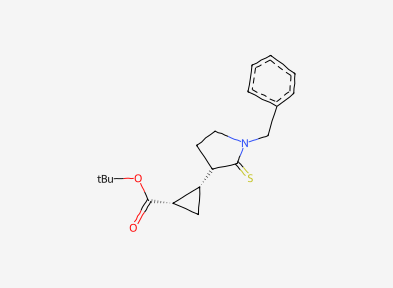 CC(C)(C)OC(=O)[C@H]1C[C@H]1C1CCN(Cc2ccccc2)C1=S